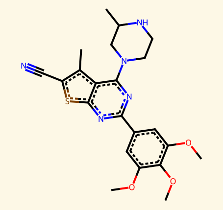 COc1cc(-c2nc(N3CCNC(C)C3)c3c(C)c(C#N)sc3n2)cc(OC)c1OC